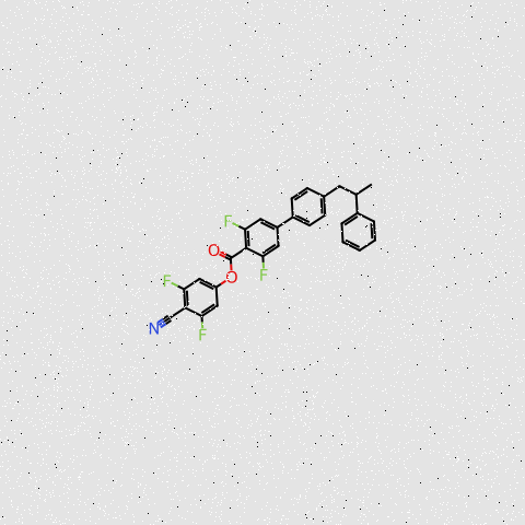 CC(Cc1ccc(-c2cc(F)c(C(=O)Oc3cc(F)c(C#N)c(F)c3)c(F)c2)cc1)c1ccccc1